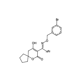 CCCC(=NOCc1cccc(Br)c1)C1=C(O)CC2(CCCC2)OC1=O